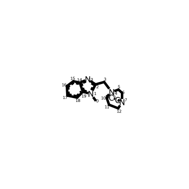 Cn1c(CN2CCN3CCC2CC3)nc2ccccc21